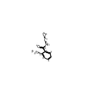 O=C=NC(=O)c1ccccc1C(F)(F)F